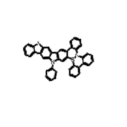 c1ccc(-n2c3cc4c(cc3c3cc5sc6ccccc6c5cc32)-c2ccccc2N2B4c3ccccc3-c3ccccc32)cc1